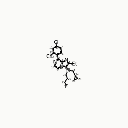 CCc1nc2c(-c3ccc(Cl)cc3Cl)nccn2c1N(CCCF)CC1CC1